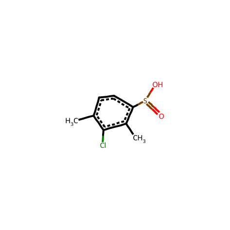 Cc1ccc(S(=O)O)c(C)c1Cl